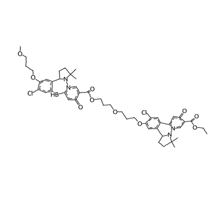 CCOC(=O)c1cn2c(cc1=O)-c1cc(Cl)c(OCCCOCCCOC(=O)c3cn4c(cc3=O)Bc3cc(Cl)c(OCCCOC)cc3C3CCC(C)(C)N34)cc1C1CCC(C)(C)N12